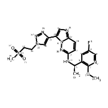 COc1ncc(F)cc1[C@@H](C)Nc1ccc2ncc(-c3cn(CCS(C)(=O)=O)nn3)n2n1